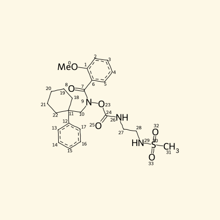 COc1ccccc1C(=O)N(CC1(c2ccccc2)CCCCC1)OC(=O)NCCNS(C)(=O)=O